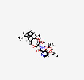 COc1ccnc(C(=O)N[C@H]2COC[C@H](CCC(C)C)[C@@H](C3CCCC3)[C@H](C)OC2=O)c1OC(C)=O